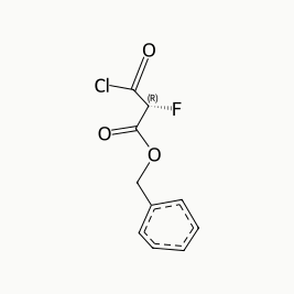 O=C(Cl)[C@H](F)C(=O)OCc1ccccc1